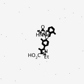 CCn1nc(-c2ccc(OCc3c(C)cccc3N3NNN(C)C3=O)c(C)c2)c(C)c1C(=O)O